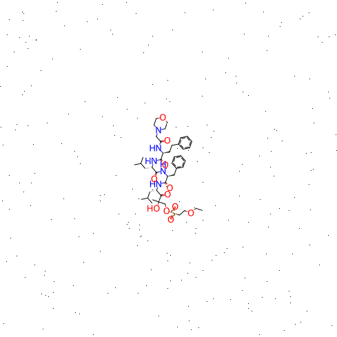 CCOCCS(=O)(=O)OCC(C)(O)C(=O)[C@H](CC(C)C)NC(=O)[C@H](Cc1ccccc1)NC(=O)[C@H](CC(C)C)NC(=O)[C@H](CCc1ccccc1)NC(=O)CN1CCOCC1